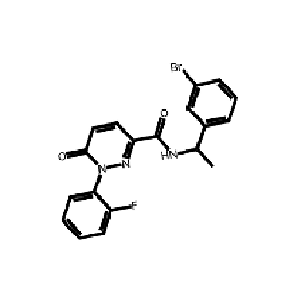 CC(NC(=O)c1ccc(=O)n(-c2ccccc2F)n1)c1cccc(Br)c1